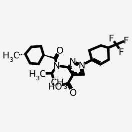 CC(C)N(c1nn(C2=CCC(C(F)(F)F)CC2)cc1C(=O)O)C(=O)[C@H]1CC[C@H](C)CC1